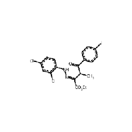 CCOC(=O)C(=NNc1ccc(Cl)cc1Cl)C(C)C(=O)c1ccc(I)cc1